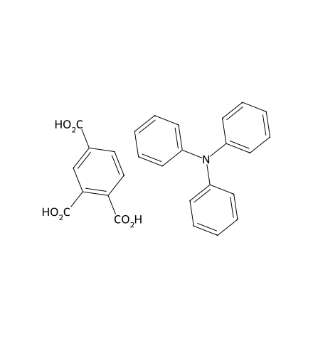 O=C(O)c1ccc(C(=O)O)c(C(=O)O)c1.c1ccc(N(c2ccccc2)c2ccccc2)cc1